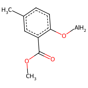 COC(=O)c1cc(C)ccc1[O][AlH2]